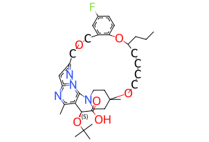 CCCC1CCCCOC2(C)CCN(CC2)c2c([C@H](OC(C)(C)C)C(=O)O)c(C)nc3cc(nn23)COCc2cc(F)ccc2O1